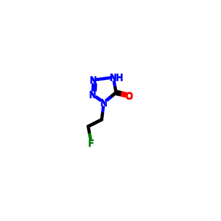 O=c1[nH]nnn1CCF